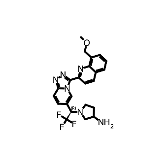 COCc1cccc2ccc(-c3nnc4ccc([C@@H](N5CCC(N)C5)C(F)(F)F)cn34)nc12